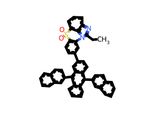 CCc1nc2cccc3c2n1-c1cc(-c2ccc4c(-c5ccc6ccccc6c5)c5ccccc5c(-c5ccc6ccccc6c5)c4c2)ccc1S3(=O)=O